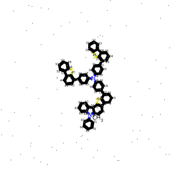 CC12C=Cc3c(sc4c3CCC=C4c3ccc(N(c4ccc(-c5cccc6c5sc5ccccc56)cc4)c4ccc(-c5cccc6c5sc5ccccc56)cc4)cc3)C1c1ccccc1N2c1ccccc1